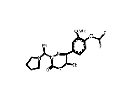 CCC1SC(=O)N(C(CC)N2CCCC2)N=C1c1ccc(OC(F)F)c(OC)c1